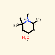 CCC1CCCC(C)(CC)N1C.O